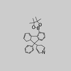 CC1(C)OB(c2cccc3c2C2=CC=CCC2C3(c2ccccc2)C2C=CN=CC2)OC1(C)C